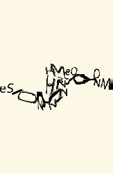 CNC(=O)c1ccc(C(C)CNc2cc(-c3ccc(OCCSC)nc3)ncn2)c(OC)c1